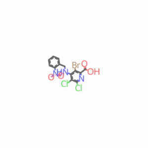 O=C(O)c1nc(Cl)c(Cl)c(NCc2ccccc2[N+](=O)[O-])c1Br